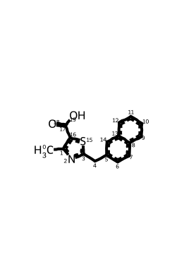 Cc1nc(Cc2ccc3ccccc3c2)sc1C(=O)O